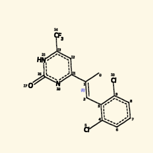 C/C(=C\c1c(Cl)cccc1Cl)c1cc(C(F)(F)F)[nH]c(=O)n1